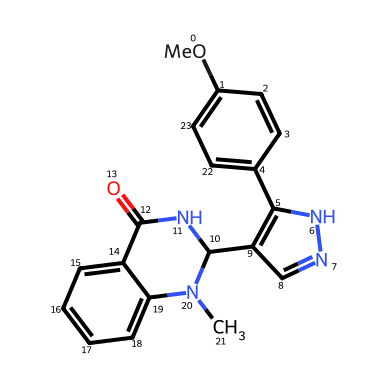 COc1ccc(-c2[nH]ncc2C2NC(=O)c3ccccc3N2C)cc1